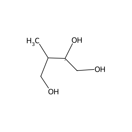 CC(CO)[C](O)CO